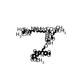 CCC(C)(CC)Sc1ncc(/C(N)=C/N(N)CCCCCC(=O)N[C@H](C(=O)N[C@@H](CCCCN(C)C)C(=O)NCC(=O)NCOCCCc2c3c(nc4cc5c(cc24)OCO5)-c2cc4c(c(=O)n2C3)COC(=O)[C@]4(O)CC)C(C)C)cn1